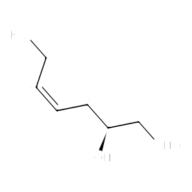 O=CC[C@@H](O)C/C=C\CC(F)(F)F